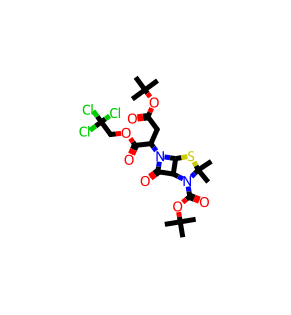 CC(C)(C)OC(=O)CC(C(=O)OCC(Cl)(Cl)Cl)N1C(=O)C2C1SC(C)(C)N2C(=O)OC(C)(C)C